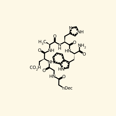 CCCCCCCCCCCC(=O)NCC(=O)N[C@@H](CC(=O)O)C(=O)N[C@@H](C)C(=O)N[C@@H](Cc1c[nH]cn1)C(=O)N[C@@H](Cc1c[nH]c2ccccc12)C(N)=O